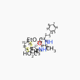 CCOC(=O)C(CCc1ccccc1)N[C@@H](C)C(=O)N[C@@H](CC1(C)SCCCS1)C(=O)O